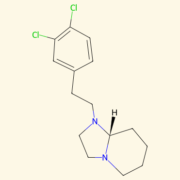 Clc1ccc(CCN2CCN3CCCC[C@H]32)cc1Cl